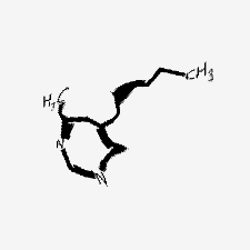 CC/C=C/c1cncnc1C